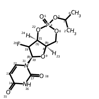 CC(C)OP1(=O)OC[C@H]2O[C@@H](n3ccc(=O)[nH]c3=O)C(F)[C@H]2O1